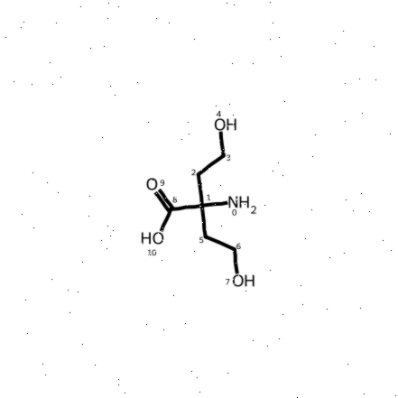 NC(CCO)(CCO)C(=O)O